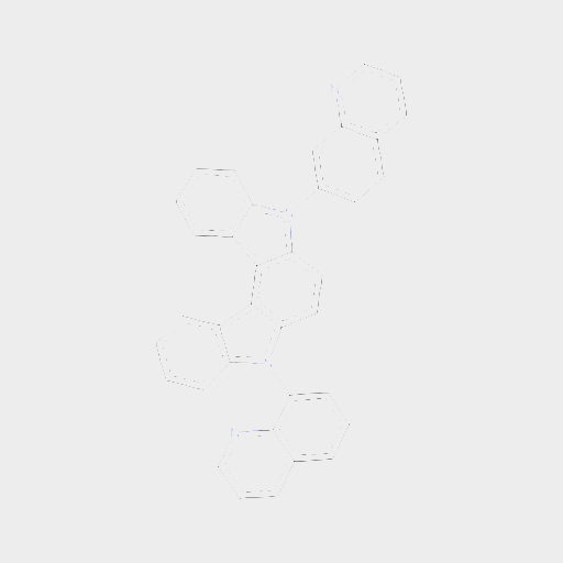 c1cnc2cc(-n3c4ccccc4c4c5c6ccccc6n(-c6cccc7cccnc67)c5ccc43)ccc2c1